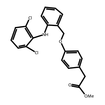 COC(=O)Cc1ccc(OCc2ccccc2Nc2c(Cl)cccc2Cl)cc1